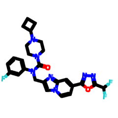 O=C(N1CCN(C2CCC2)CC1)N(Cc1cn2ccc(-c3nnc(C(F)F)o3)cc2n1)c1cccc(F)c1